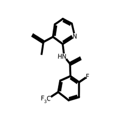 C=C(Nc1ncccc1C(=C)C)c1cc(C(F)(F)F)ccc1F